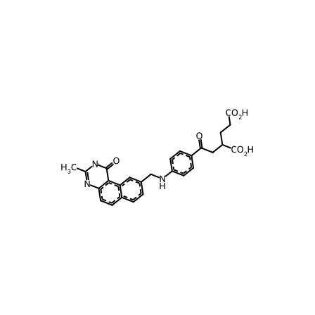 CC1=Nc2ccc3ccc(CNc4ccc(C(=O)CC(CCC(=O)O)C(=O)O)cc4)cc3c2C(=O)[N]1